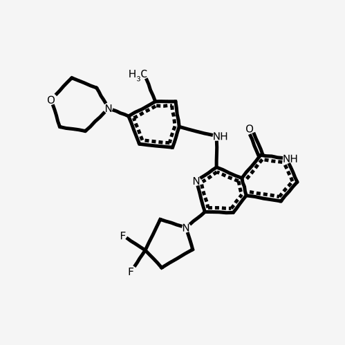 Cc1cc(Nc2nc(N3CCC(F)(F)C3)cc3cc[nH]c(=O)c23)ccc1N1CCOCC1